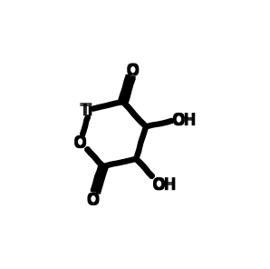 O=C1[O][Ti][C](=O)C(O)C1O